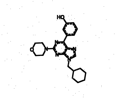 Oc1cccc(-c2nc(N3CCOCC3)nc3c2ncn3CC2CCCCC2)c1